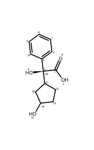 O=C(O)[C@@](O)(c1ccccc1)C1CCC(O)C1